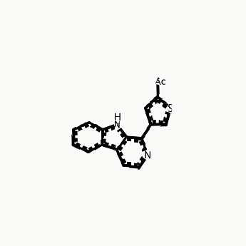 CC(=O)c1cc(-c2nccc3c2[nH]c2ccccc23)cs1